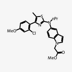 CCCN(c1ccc2c(ccn2CC(=O)OC)c1)c1nc(-c2ccc(OC)cc2Cl)c(C)s1